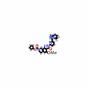 COc1cc2c(cc1C(=O)Nc1cccc(-c3nnc4n3C(C)(C)CC4)n1)CN(C(=O)OC1CCCC1)CC2